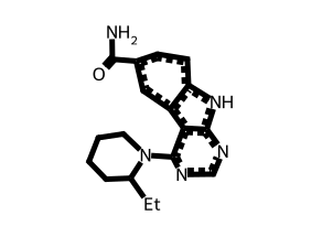 CCC1CCCCN1c1ncnc2[nH]c3ccc(C(N)=O)cc3c12